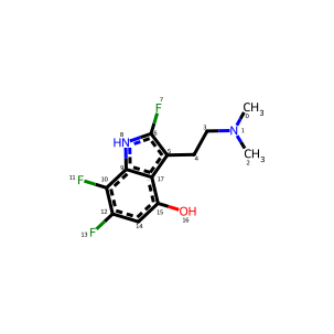 CN(C)CCc1c(F)[nH]c2c(F)c(F)cc(O)c12